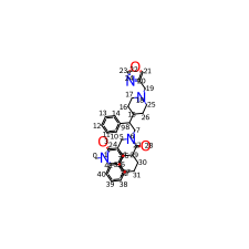 Cn1c(=O)c(CN(CC(c2ccccc2)C2CCN(Cc3cocn3)CC2)C(=O)C2CCCCC2)cc2ccccc21